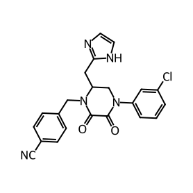 N#Cc1ccc(CN2C(=O)C(=O)N(c3cccc(Cl)c3)CC2Cc2ncc[nH]2)cc1